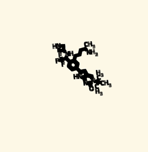 C[C@H](N)CCCc1cc(-c2cc3cn(C(C)(C)C)c(=O)nc3[nH]2)ccc1C(NC1CNC1)C(F)(F)F